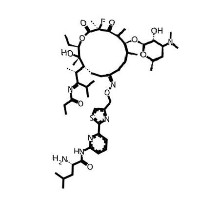 CCC(=O)/N=C(\C(C)C)[C@H](C)[C@H]1CC/C(=N\OCc2csc(-c3cccc(NC(=O)[C@@H](N)CC(C)C)n3)n2)CCC(C)[C@H](O[C@@H]2O[C@H](C)CC(N(C)C)[C@H]2O)C(C)C(=O)[C@](C)(F)C(=O)O[C@H](CC)[C@@]1(C)O